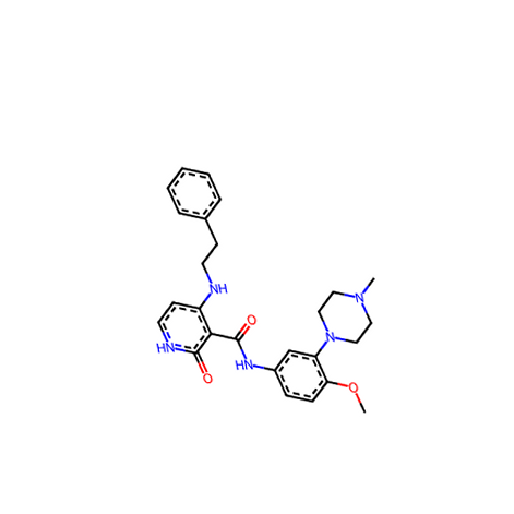 COc1ccc(NC(=O)c2c(NCCc3ccccc3)cc[nH]c2=O)cc1N1CCN(C)CC1